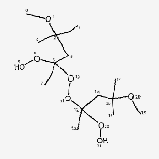 COC(C)(C)CC(C)(OO)OOC(C)(CC(C)(C)OC)OO